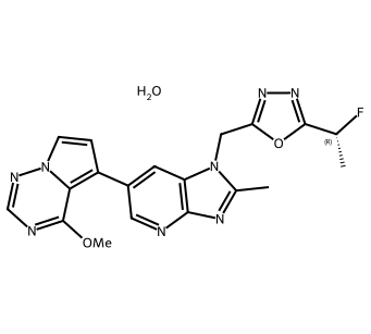 COc1ncnn2ccc(-c3cnc4nc(C)n(Cc5nnc([C@@H](C)F)o5)c4c3)c12.O